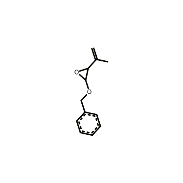 C=C(C)C1OC1OCc1ccccc1